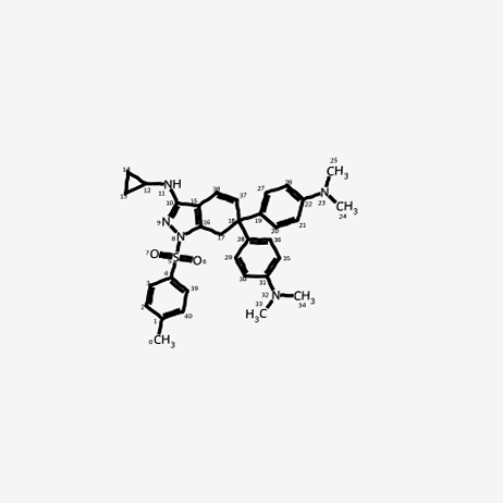 Cc1ccc(S(=O)(=O)n2nc(NC3CC3)c3c2CC(c2ccc(N(C)C)cc2)(c2ccc(N(C)C)cc2)C=C3)cc1